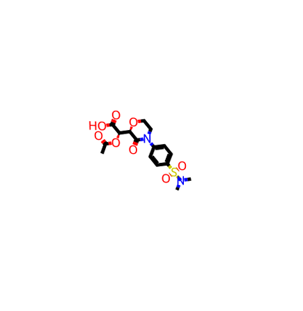 CC(=O)O[C@@H](C(=O)O)[C@H]1OCCN(c2ccc(S(=O)(=O)N(C)C)cc2)C1=O